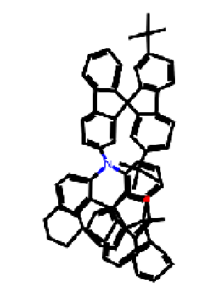 CC(C)(C)c1ccc2c(c1)C1(c3ccccc3-c3ccc(N(c4ccccc4-c4cccc5cccc(C6CCCCC6)c45)c4cccc5c4-c4ccccc4C5(C)c4ccccc4)cc31)c1cc(C(C)(C)C)ccc1-2